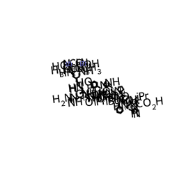 CCC(C)[C@H](NC(=O)[C@H](Cc1ccc(O)cc1)NC(=O)[C@@H](NC(=O)[C@H](CCCNC(=N)N)NC(=O)CNCCC(CCNC(C)(C)/C(C)=N\O)CCNC(C)(C)/C(C)=N\O)C(C)C)C(=O)N[C@@H](Cc1cnc[nH]1)C(=O)N1CCC[C@H]1C(=O)N[C@@H](Cc1ccccc1)C(=O)N[C@@H](Cc1cnc[nH]1)C(=O)N[C@@H](CC(C)C)C(=O)O